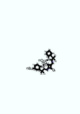 CCCCCCCCN1/C(=C\C2=C(O)C(=C\C3=[N+](CCCCCCCC)c4ccc(CCCC)cc4C3(C)C)/C2=O)C(C)(C)c2ccccc21